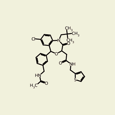 CC(=O)NCc1cccc(C2OC(CC(=O)NCc3cccs3)C(=O)N(CC(C)(C)C)c3ccc(Cl)cc32)c1